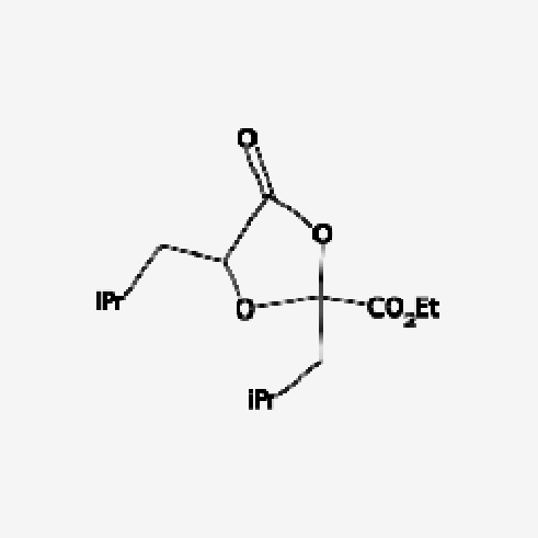 CCOC(=O)C1(CC(C)C)OC(=O)C(CC(C)C)O1